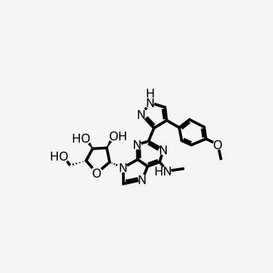 CNc1nc(-c2n[nH]cc2-c2ccc(OC)cc2)nc2c1ncn2[C@@H]1O[C@H](CO)[C@@H](O)[C@H]1O